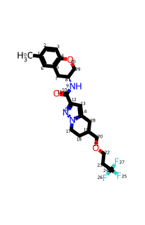 Cc1ccc2c(c1)C[C@@H](NC(=O)c1cc3n(n1)CCC(COCCC(F)(F)F)C3)CO2